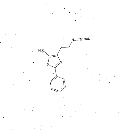 Cc1sc(-c2ccccc2)nc1CCN=[N+]=[N-]